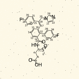 C[S+]([O-])C(CCC(=O)O)NC(=O)c1cccc(/C=C(/Cn2ccnc2)c2ccc(F)cc2)c1-c1ccc(F)cc1